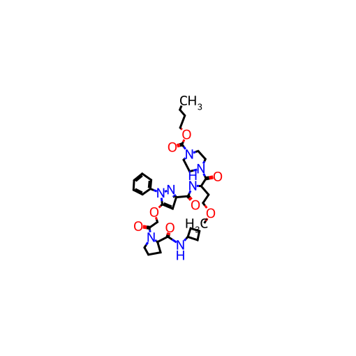 CCCCOC(=O)N1CCN(C(=O)C(CCOC)NC(=O)c2cc(OCC(=O)N3CCCC3C(=O)NC3CCC3)n(-c3ccccc3)n2)CC1